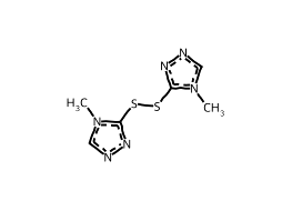 Cn1cnnc1SSc1nncn1C